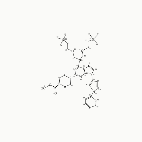 CC(C)(C)OC(=O)[C@H]1CC[C@H](c2cc(N(COCC[Si](C)(C)C)COCC[Si](C)(C)C)n3ncc(-c4cnn(-c5ccccc5)c4)c3n2)CC1